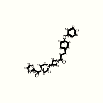 O=C(CCc1ccc(Oc2ccccc2)cc1)N1CC(N2CCN(C(=O)c3nccs3)CC2)C1